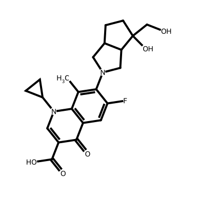 Cc1c(N2CC3CCC(O)(CO)C3C2)c(F)cc2c(=O)c(C(=O)O)cn(C3CC3)c12